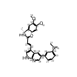 COc1ccc([C@@H](C)NC(=O)/C=C/c2c[nH]c3ncc(-c4cccc(N(C)C)c4)cc23)cc1OC